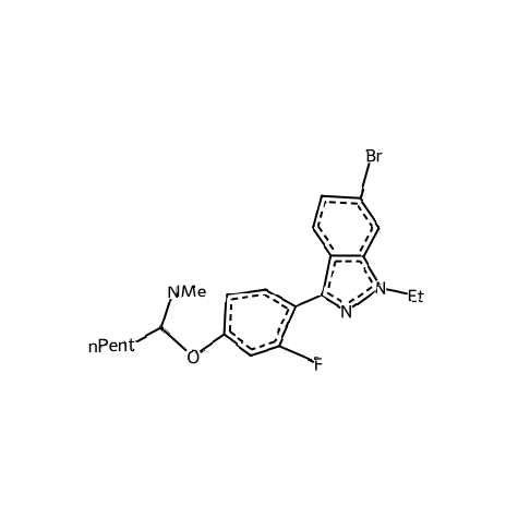 CCCCCC(NC)Oc1ccc(-c2nn(CC)c3cc(Br)ccc23)c(F)c1